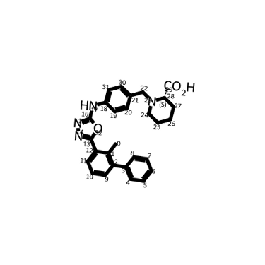 Cc1c(-c2ccccc2)cccc1-c1nnc(Nc2ccc(CN3CCCC[C@H]3C(=O)O)cc2)o1